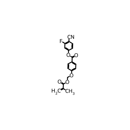 C=C(C)C(=O)OCOc1ccc(C(=O)Oc2ccc(C#N)c(F)c2)cc1